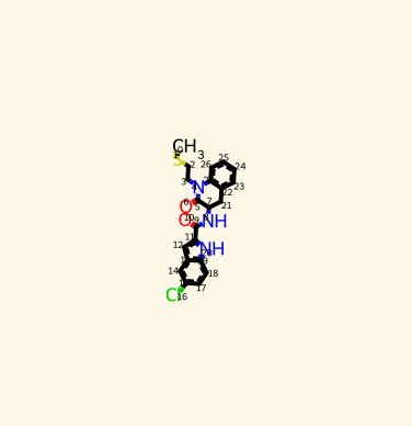 CSCCN1C(=O)C(NC(=O)c2cc3cc(Cl)ccc3[nH]2)Cc2ccccc21